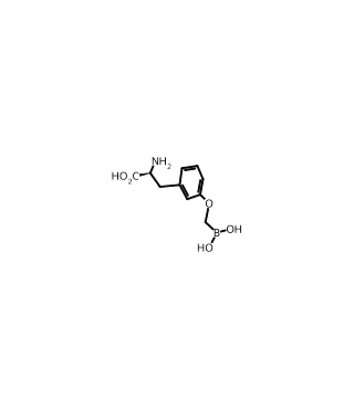 N[C@@H](Cc1cccc(OCB(O)O)c1)C(=O)O